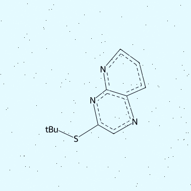 CC(C)(C)Sc1cnc2cccnc2n1